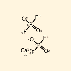 O=P([O-])(F)F.O=P([O-])(F)F.[Ca+2]